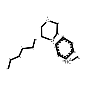 C1COCCO1.CCCCCC.CO.c1ccccc1